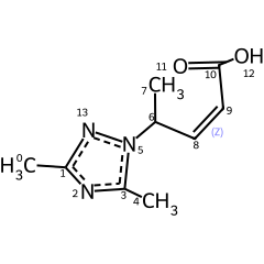 Cc1nc(C)n(C(C)/C=C\C(=O)O)n1